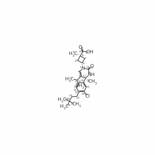 CC(C)C1=CN([C@H]2C[C@](C)(C(=O)O)C2)C(=O)N[C@@]1(C)c1ccc(CCC(C)(C)C)c(Cl)c1